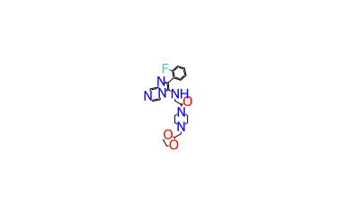 O=C(CNc1c(-c2ccccc2F)nc2cnccn12)N1CCN(CC2OCCO2)CC1